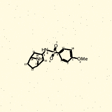 COc1ccc(S(=O)(=O)NC2CC3CCC(C2)N3)cc1